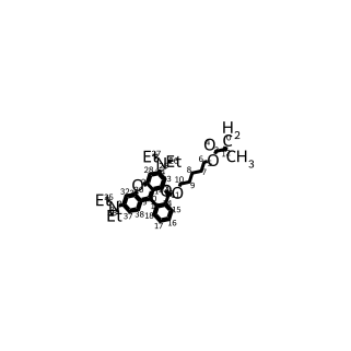 C=C(C)C(=O)OCCCCCOC(=O)c1ccccc1-c1c2ccc(=[N+](CC)CC)cc-2oc2cc(N(CC)CC)ccc12